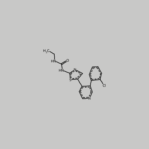 CCNC(=O)Nc1ncc(-c2ccncc2-c2ccccc2Cl)s1